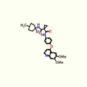 CCC1(NC(=O)C2(C(=O)Nc3ccc(Oc4ccnc5cc(OC)c(OC)cc45)cc3)CC2)CCC(C)CC1